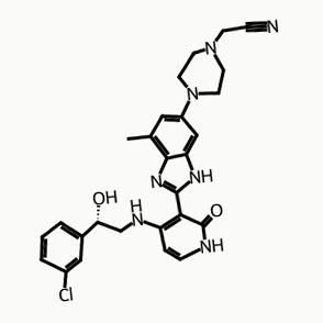 Cc1cc(N2CCN(CC#N)CC2)cc2[nH]c(-c3c(NC[C@@H](O)c4cccc(Cl)c4)cc[nH]c3=O)nc12